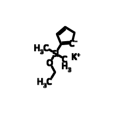 CCO[Si](C)(C)C1=[C-]CC=C1.[K+]